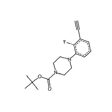 C#Cc1cccc(N2CCN(C(=O)OC(C)(C)C)CC2)c1F